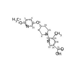 COc1ccc(OC2CCN(c3ncc(C(=O)O)cc3C)CC2)cn1